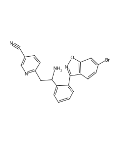 N#Cc1ccc(CC(N)c2ccccc2-c2noc3cc(Br)ccc23)nc1